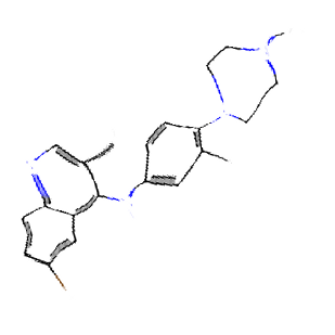 CC(C)(C)N1CCN(c2ccc(Nc3c(C=O)cnc4ccc(Br)cc34)cc2C(F)(F)F)CC1